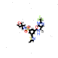 Cc1cnc(-c2cc(C(=O)N[C@H](C)c3cnc(C(F)(F)F)nc3)cc(S(=O)(=O)N3CC4(CCOC4)C3)c2)s1